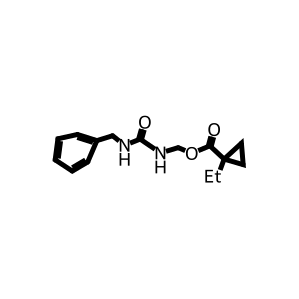 CCC1(C(=O)OCNC(=O)NCc2ccccc2)CC1